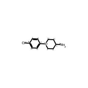 NC1CCN(c2ccc(Cl)cc2)CC1